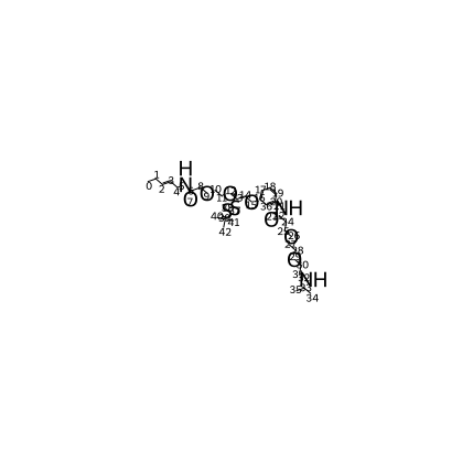 CC/C=C/CNC(=O)COCCOC(COc1cccc(NC(=O)CCOCCOCCNC(C)C)c1)SSC(C)(C)C